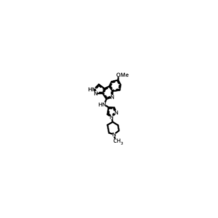 COc1ccc2nc(Nc3cnn(C4CCN(C)CC4)c3)c3n[nH]cc3c2c1